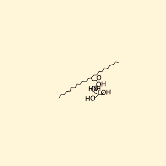 CCCCCCCCCCCCC(CCCCCCCCCC)CC(=O)O.OCC(CO)(CO)CO